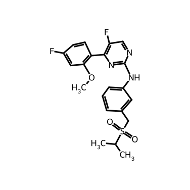 COc1cc(F)ccc1-c1nc(Nc2cccc(CS(=O)(=O)C(C)C)c2)ncc1F